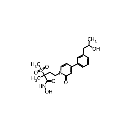 CC(O)Cc1cccc(-c2ccn(CCC(C)(C(=O)NO)S(C)(=O)=O)c(=O)c2)c1